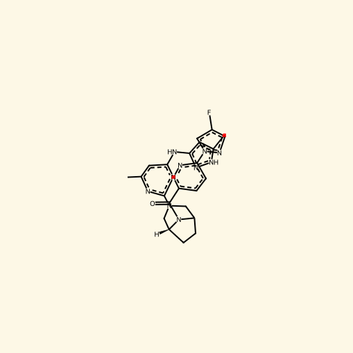 Cc1cc(Nc2cc(C)[nH]n2)nc(N2CC3CC[C@H](C2)N3C(=O)c2ccc(-n3cc(F)cn3)nn2)n1